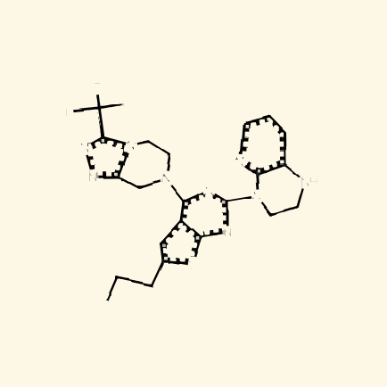 CCCc1cc2c(N3CCn4c(nnc4C(F)(F)F)C3)nc(N3CCNc4cccnc43)nc2s1